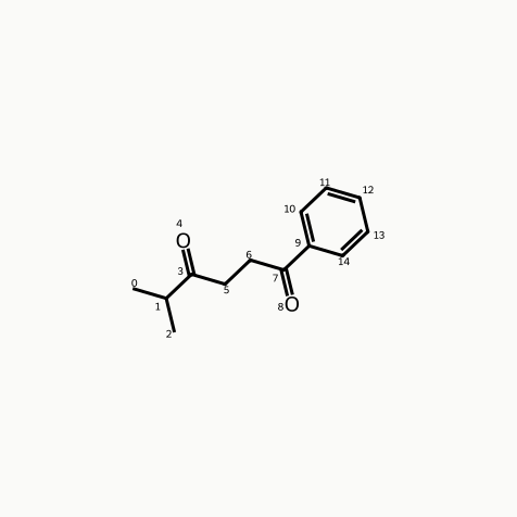 CC(C)C(=O)CCC(=O)c1ccccc1